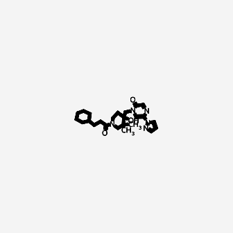 CC1(C)CN(C(=O)CCC2CCCCC2)CCC1(O)Cn1cc(-n2cccn2)ncc1=O